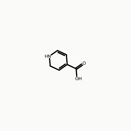 O=C(O)C1=CCNC=C1